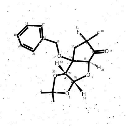 CC1(C)O[C@H]2O[C@@H]3C(=O)C(F)(F)CC3(OCc3ccccc3)[C@H]2O1